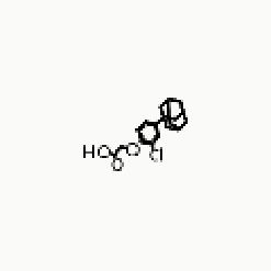 O=C(O)COc1ccc(C23CC4CC(CC(C4)C2)C3)cc1Cl